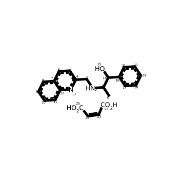 CC(NCc1ccc2ccccc2n1)C(O)c1ccccc1.O=C(O)/C=C\C(=O)O